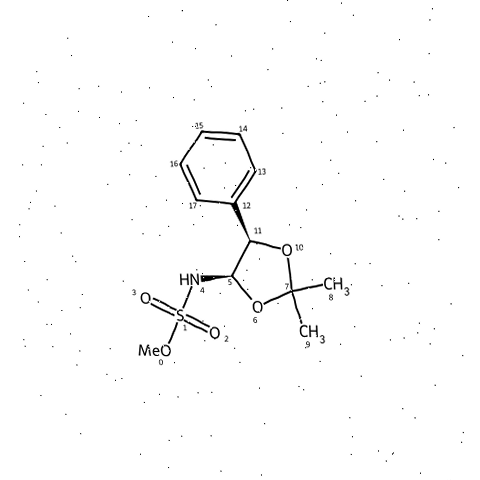 COS(=O)(=O)N[C@@H]1OC(C)(C)O[C@@H]1c1ccccc1